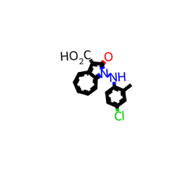 Cc1cc(Cl)ccc1Nn1c2cccccc-2c(C(=O)O)c1=O